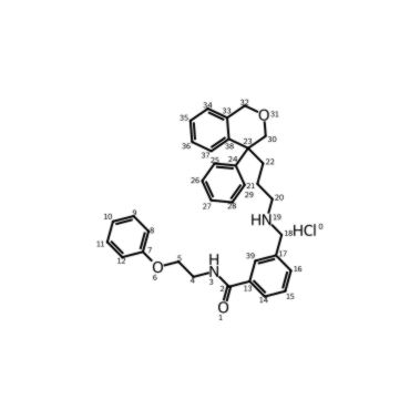 Cl.O=C(NCCOc1ccccc1)c1cccc(CNCCCC2(c3ccccc3)COCc3ccccc32)c1